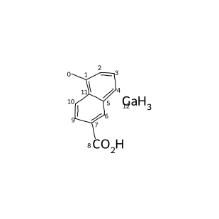 Cc1cccc2cc(C(=O)O)ccc12.[GaH3]